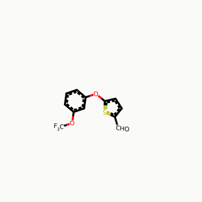 O=Cc1ccc(Oc2cccc(OC(F)(F)F)c2)s1